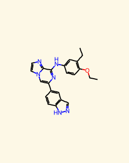 CCOc1ccc(Nc2nc(-c3ccc4[nH]ncc4c3)cn3ccnc23)cc1CC